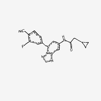 N#Cc1ccc(-c2cc(NC(=O)CC3CC3)cc3ncnn23)cc1F